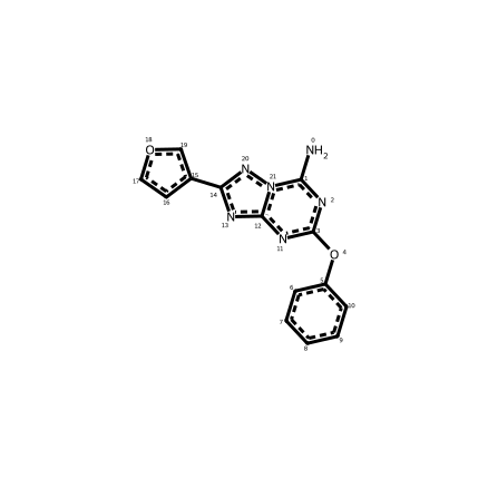 Nc1nc(Oc2ccccc2)nc2nc(-c3ccoc3)nn12